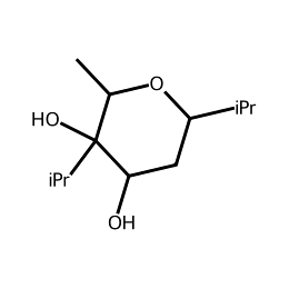 CC(C)C1CC(O)C(O)(C(C)C)C(C)O1